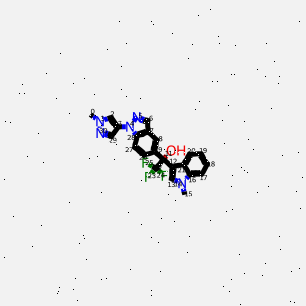 Cn1cc(-n2ncc3cc(C(O)(c4cn(C)c5ccccc45)C(F)(F)F)ccc32)cn1